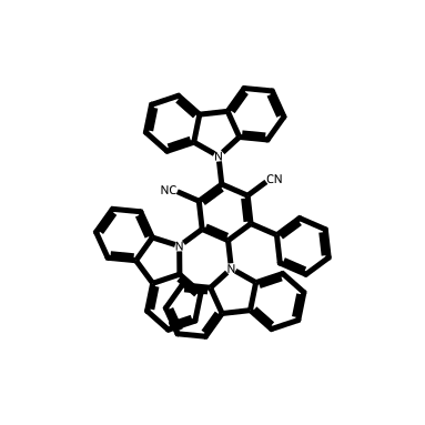 N#Cc1c(-c2ccccc2)c(-n2c3ccccc3c3ccccc32)c(-n2c3ccccc3c3ccccc32)c(C#N)c1-n1c2ccccc2c2ccccc21